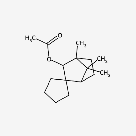 CC(=O)OC1C2(CCCC2)C2CCC1(C)C2(C)C